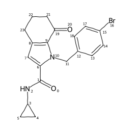 O=C(NC1CC1)c1cc2c(n1Cc1ccc(Br)cc1)C(=O)CCC2